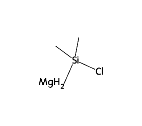 C[Si](C)(C)Cl.[MgH2]